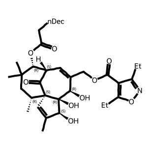 CCCCCCCCCCCC(=O)O[C@@H]1[C@@H]2C=C(COC(=O)c3c(CC)noc3CC)[C@@H](O)[C@]3(O)[C@@H](O)C(C)=C[C@@]3(C2=O)[C@H](C)CC1(C)C